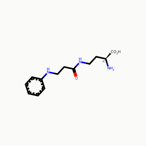 N[C@@H](CCNC(=O)CCNc1ccccc1)C(=O)O